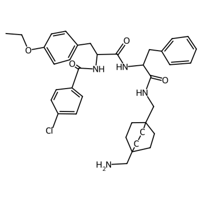 CCOc1ccc(CC(NC(=O)c2ccc(Cl)cc2)C(=O)NC(Cc2ccccc2)C(=O)NCC23CCC(CN)(CC2)CC3)cc1